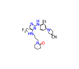 CCc1cc(N2CC[C@H](C#N)C2)ccc1Nc1ncc(C(F)(F)F)c(NCCCN2CCCCC2=O)n1